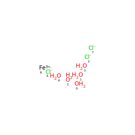 O.O.O.O.O.[Cl-].[Cl-].[Cl-].[Fe+3]